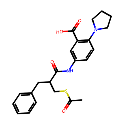 CC(=O)SCC(Cc1ccccc1)C(=O)Nc1ccc(N2CCCC2)c(C(=O)O)c1